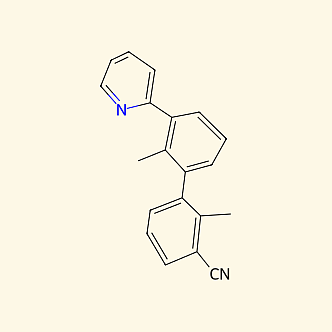 Cc1c(C#N)cccc1-c1cccc(-c2ccccn2)c1C